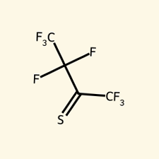 FC(F)(F)C(=S)C(F)(F)C(F)(F)F